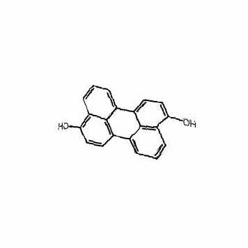 Oc1ccc2c3cccc4c(O)ccc(c5cccc1c52)c43